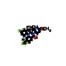 CCc1nc(OC)ccc1N1CN(c2ccc(F)cc2C(C)C)c2cc(C(F)(F)F)ccc2C1=O